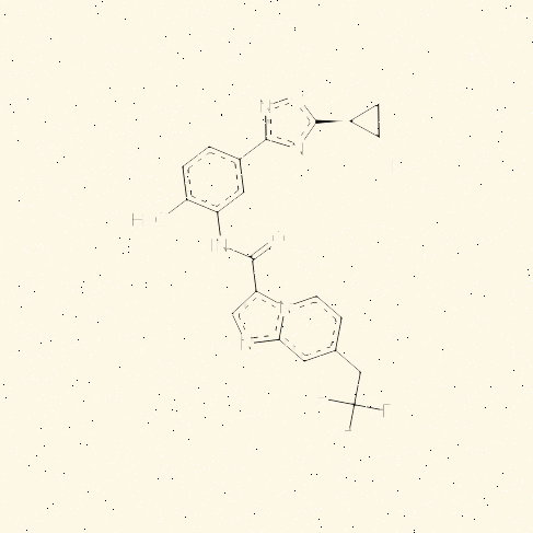 Cc1ccc(-c2noc([C@H]3C[C@@H]3F)n2)cc1NC(=O)c1cnc2cc(CC(F)(F)F)ccn12